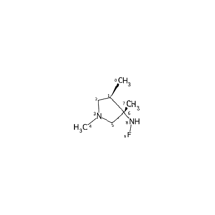 C[C@@H]1CN(C)C[C@@]1(C)NF